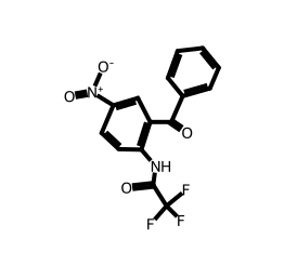 O=C(c1ccccc1)c1cc([N+](=O)[O-])ccc1NC(=O)C(F)(F)F